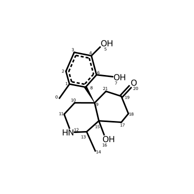 Cc1ccc(O)c(O)c1[C@]12CCNC(C)C1(O)CCC(=O)C2